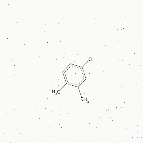 Cc1[c]cc(Cl)cc1C